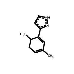 CC1=CCC(C)C(c2cc[nH]n2)=C1